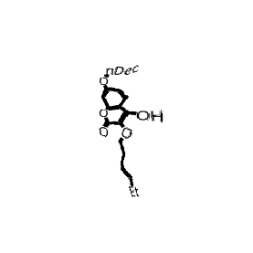 CC/C=C/CCOc1c(O)c2ccc(OCCCCCCCCCC)cc2oc1=O